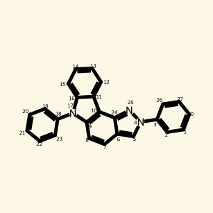 c1ccc(-n2cc3ccc4c(c5ccccc5n4-c4ccccc4)c3n2)cc1